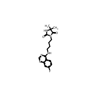 CC1(C)NC(=O)N(CCCCNc2ncnc3cc(F)ccc23)C1=O